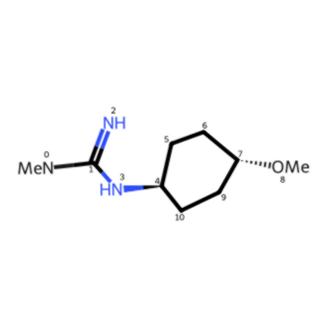 CNC(=N)N[C@H]1CC[C@H](OC)CC1